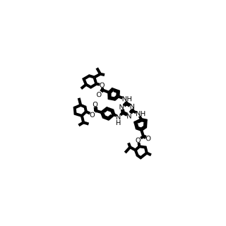 CC1CCC(C(C)C)C(OC(=O)c2ccc(Nc3nc(Nc4ccc(C(=O)OC5CC(C)CCC5C(C)C)cc4)nc(Nc4ccc(C(=O)OC5CC(C)CCC5C(C)C)cc4)n3)cc2)C1